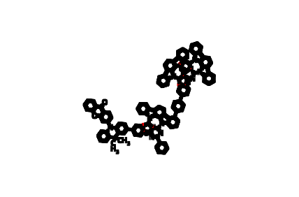 CC1(C)c2ccccc2N(c2ccc3c(=O)c4ccccc4oc3c2)c2ccc(-c3ccc(-c4nc(-c5ccccc5)nc(-n5c6cccc(-c7ccc(-c8ccc(-c9nc(-n%10c%11ccccc%11c%11ccc%12c%13ccccc%13n(-c%13ccccc%13)c%12c%11%10)nc(-n%10c%11ccccc%11c%11ccc%12c%13ccccc%13n(-c%13ccccc%13)c%12c%11%10)n9)cc8)cc7)c6c6ccc7c8ccccc8n(-c8ccccc8)c7c65)n4)cc3)cc21